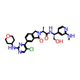 CNc1cc([C@@H](CO)NC(=O)[C@H](C)N2Cc3ccc(-c4nc(NC5CCOCC5)ncc4Cl)cc3C2=O)ccn1